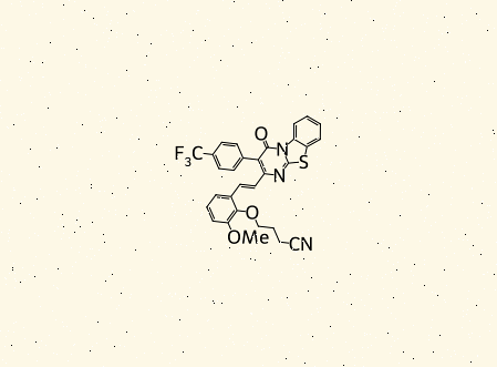 COc1cccc(C=Cc2nc3sc4ccccc4n3c(=O)c2-c2ccc(C(F)(F)F)cc2)c1OCCCC#N